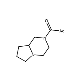 CC(=O)C(=O)N1CCN2CCCC2C1